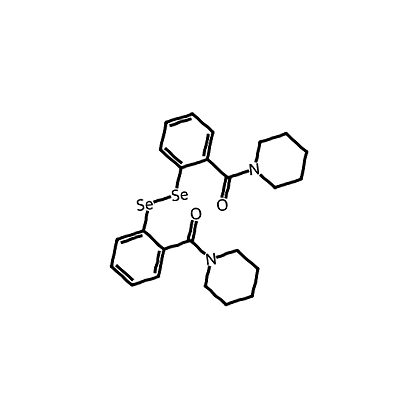 O=C(c1ccccc1[Se][Se]c1ccccc1C(=O)N1CCCCC1)N1CCCCC1